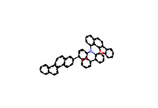 c1ccc(-c2ccccc2N(c2ccc(-c3ccc4c(ccc5c6ccccc6ccc45)c3)cc2)c2cccc3ccc4c5ccccc5oc4c23)cc1